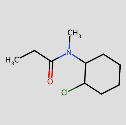 CCC(=O)N(C)C1CCCCC1Cl